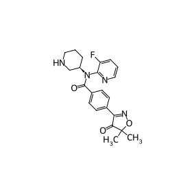 CC1(C)ON=C(c2ccc(C(=O)N(c3ncccc3F)[C@@H]3CCCNC3)cc2)C1=O